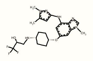 Cc1cc(Nc2cc(O[C@H]3CC[C@@H](NC[C@H](O)C(F)(F)F)CC3)cc3c2ncn3C)nn1C